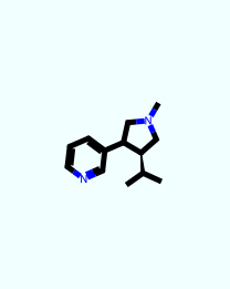 CC(C)[C@@H]1CN(C)CC1c1cccnc1